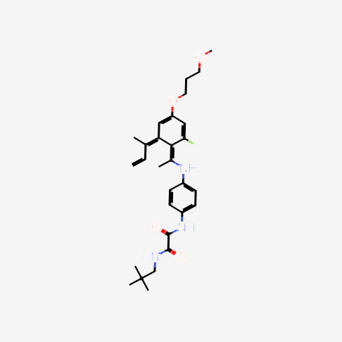 C=C/C(C)=c1/cc(OCCCOC)cc(F)/c1=C(/C)Nc1ccc(NC(=O)C(=O)NCC(C)(C)C)cc1